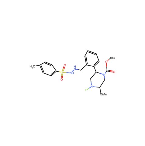 COC1CN(C(=O)OC(C)(C)C)C(c2ccccc2CNNS(=O)(=O)c2ccc(C)cc2)CN1F